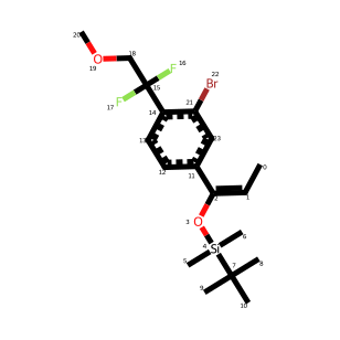 C/C=C(/O[Si](C)(C)C(C)(C)C)c1ccc(C(F)(F)COC)c(Br)c1